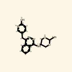 CC(C)C1OCC(Nc2nnc(Cc3ccc(O)nc3)c3ccccc23)CO1